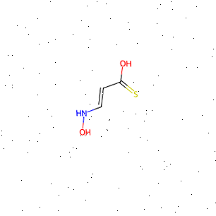 ONC=CC(O)=S